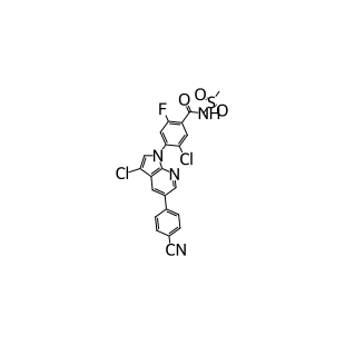 CS(=O)(=O)NC(=O)c1cc(Cl)c(-n2cc(Cl)c3cc(-c4ccc(C#N)cc4)cnc32)cc1F